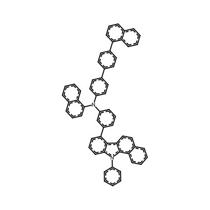 c1ccc(-n2c3cccc(-c4cccc(N(c5ccc(-c6ccc(-c7cccc8ccccc78)cc6)cc5)c5cccc6ccccc56)c4)c3c3ccc4ccccc4c32)cc1